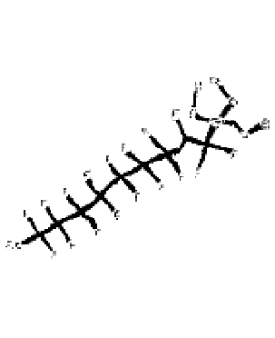 CCO[Si](OCC)(OCC)C(F)(F)C(F)C(F)(F)C(F)(F)C(F)(F)C(F)(F)C(F)(F)C(F)(F)C(F)(F)C(F)(F)F